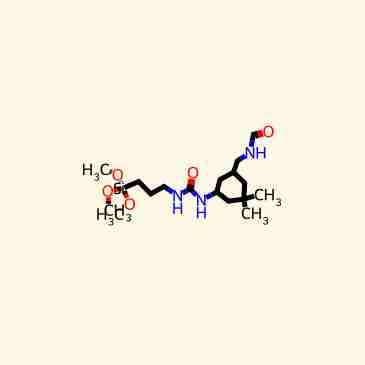 CO[Si](CCCNC(=O)NC1CC(CNC=O)CC(C)(C)C1)(OC)OC